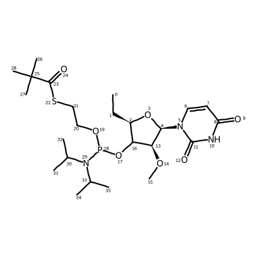 CC[C@H]1O[C@@H](n2ccc(=O)[nH]c2=O)[C@@H](OC)C1OP(OCCSC(=O)C(C)(C)C)N(C(C)C)C(C)C